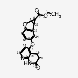 CCOC(=O)C1C2Oc3ccc(Oc4ccnc5c4CCC(=O)N5)cc3C21